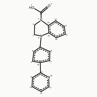 O=C(O)N1CCN(c2ccc(-c3ccccn3)cc2)c2ccccc21